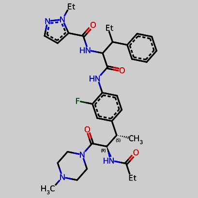 CCC(=O)N[C@@H](C(=O)N1CCN(C)CC1)[C@@H](C)c1ccc(NC(=O)C(NC(=O)c2ccnn2CC)C(CC)c2ccccc2)c(F)c1